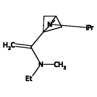 C=C(N(C)CC)C12CC(C1)N(C(C)C)C2